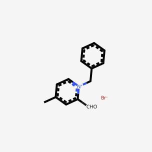 Cc1cc[n+](Cc2ccccc2)c(C=O)c1.[Br-]